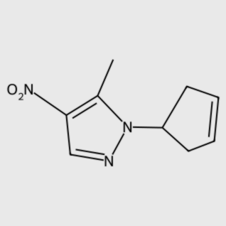 Cc1c([N+](=O)[O-])cnn1C1CC=CC1